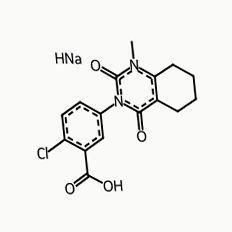 Cn1c2c(c(=O)n(-c3ccc(Cl)c(C(=O)O)c3)c1=O)CCCC2.[NaH]